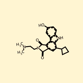 CN(C)CCN1C(=O)c2cc(C3CCC3)c3[nH]c4ccc(O)cc4c3c2C1=O